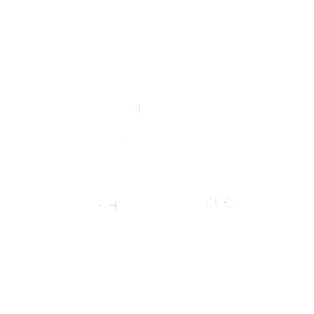 CC(C)(O)C(C)(O)Cc1ccccc1C=O